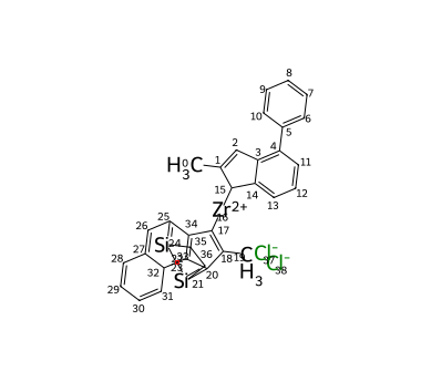 CC1=Cc2c(-c3ccccc3)cccc2[CH]1[Zr+2][C]1=C(C)/C2=[Si]3C=C/[Si](=C4\C=C5C=CC=CC5C2=C14)CC/3.[Cl-].[Cl-]